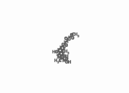 COC(=O)COC(=O)CCC(=O)OC1CCC2(C)C(C1)CC(O)C1C2CC(O)C2(C)C(C(C)CCC(=O)O)CCC12